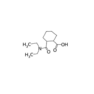 CCN(CC)C(=O)C1CCCCC1C(=O)O